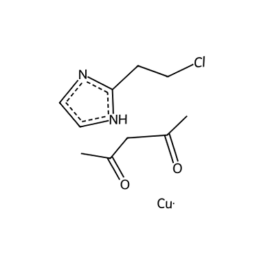 CC(=O)CC(C)=O.ClCCc1ncc[nH]1.[Cu]